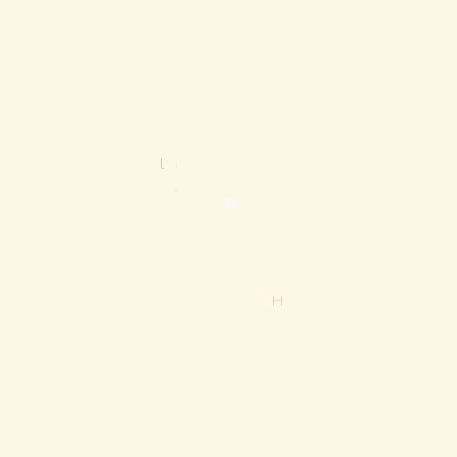 CC[C@H](C)[C@@H](C)/C=C/C[C@H](C)CO